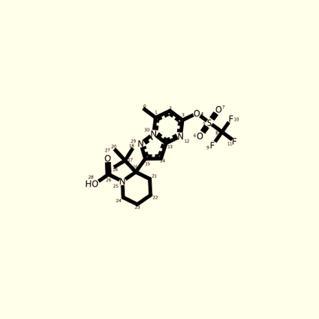 Cc1cc(OS(=O)(=O)C(F)(F)F)nc2cc(C3(C(C)(C)C)CCCCN3C(=O)O)nn12